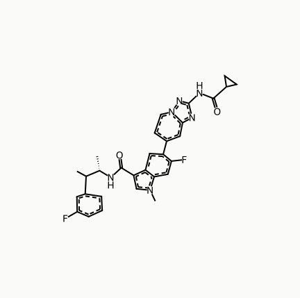 CC(c1cccc(F)c1)[C@H](C)NC(=O)c1cn(C)c2cc(F)c(-c3ccn4nc(NC(=O)C5CC5)nc4c3)cc12